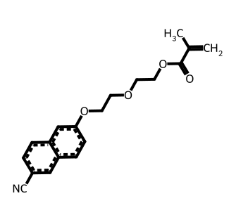 C=C(C)C(=O)OCCOCCOc1ccc2cc(C#N)ccc2c1